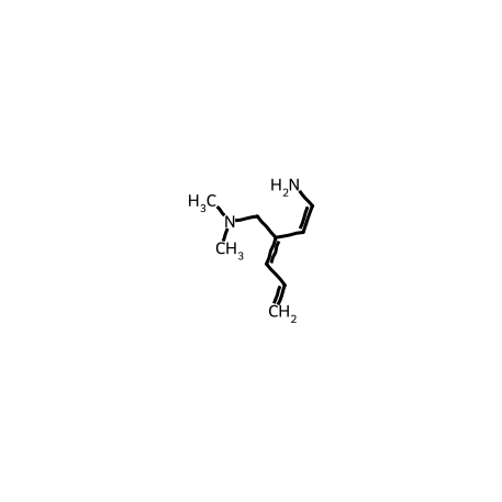 C=C/C=C(\C=C/N)CN(C)C